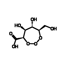 O=C(O)[C@@H]1OOO[C@H](CO)[C@@H](O)[C@@H]1O